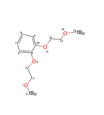 CC(C)(C)OCCOc1ccccc1OCCOC(C)(C)C